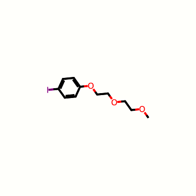 COCCOCCOc1ccc(I)cc1